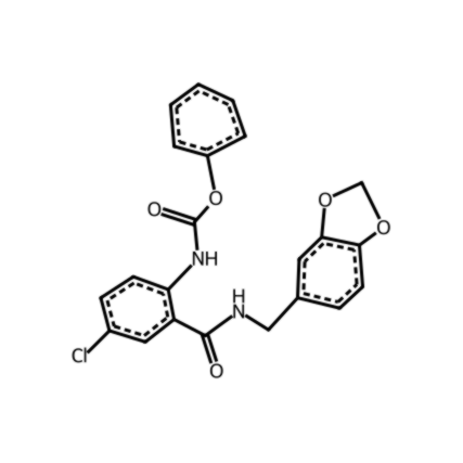 O=C(Nc1ccc(Cl)cc1C(=O)NCc1ccc2c(c1)OCO2)Oc1ccccc1